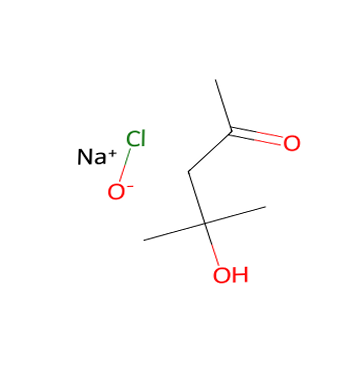 CC(=O)CC(C)(C)O.[Na+].[O-]Cl